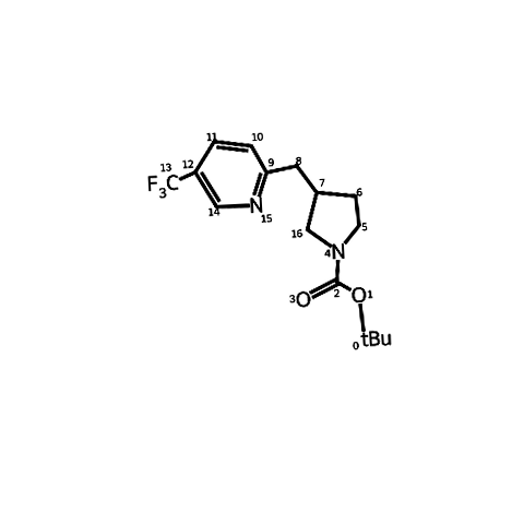 CC(C)(C)OC(=O)N1CCC(Cc2ccc(C(F)(F)F)cn2)C1